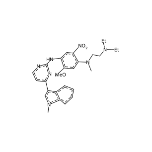 CCN(CC)CCN(C)c1cc(OC)c(Nc2nccc(-c3cn(C)c4ccccc34)n2)cc1[N+](=O)[O-]